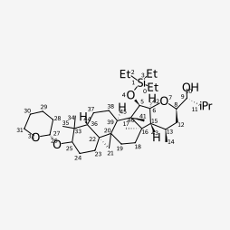 CC[Si](CC)(CC)O[C@H]1[C@H]2O[C@@H]([C@H](O)C(C)C)C[C@@H](C)[C@@H]2[C@@]2(C)CCC34C[C@@]35CCC(O[C@H]3CCCCO3)C(C)(C)[C@@H]5CC[C@H]4[C@]12C